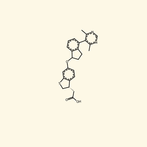 Cc1ncnc(C)c1-c1cccc2c1CCC2Oc1ccc2c(c1)SC[C@H]2CC(=O)O